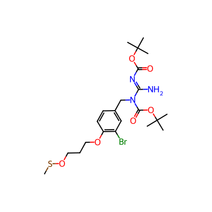 CSOCCCOc1ccc(CN(C(=O)OC(C)(C)C)C(N)=NC(=O)OC(C)(C)C)cc1Br